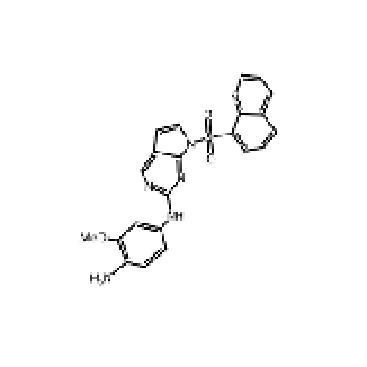 COc1cc(Nc2ncc3ccn(S(=O)(=O)c4cccc5cccnc45)c3n2)ccc1N